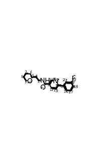 O=C(NCCC1CCCCO1)c1ccc(-c2cccc(F)c2)nc1